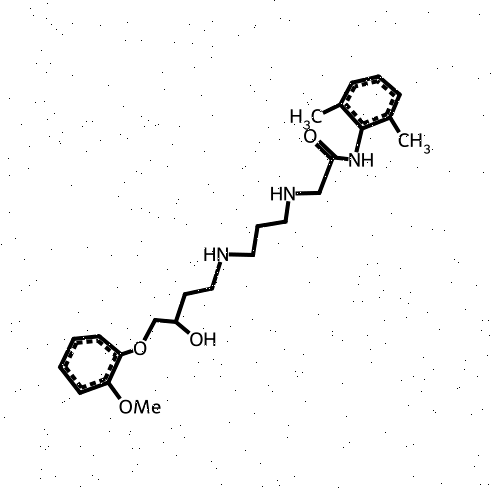 COc1ccccc1OCC(O)CCNCCCNCC(=O)Nc1c(C)cccc1C